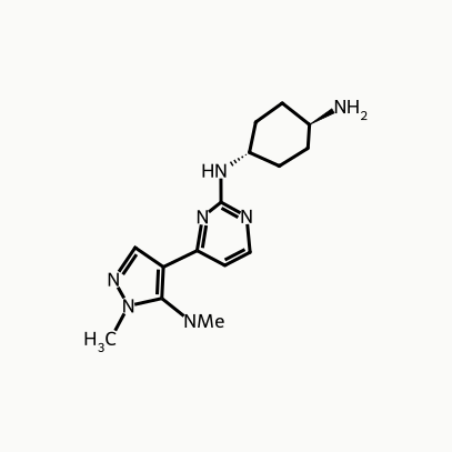 CNc1c(-c2ccnc(N[C@H]3CC[C@H](N)CC3)n2)cnn1C